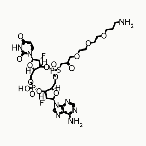 NCCCOCCOCCOCC(=O)CSP1(=O)OC[C@H]2O[C@@H](n3cnc4c(N)ncnc43)[C@H](F)[C@@H]2OP(=O)(O)OC[C@H]2O[C@@H](n3ccc(=O)[nH]c3=O)[C@H](F)[C@@H]2O1